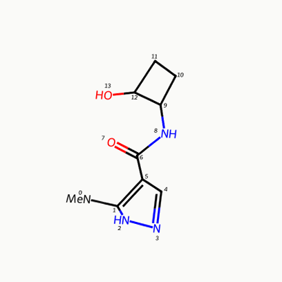 CNc1[nH]ncc1C(=O)NC1CCC1O